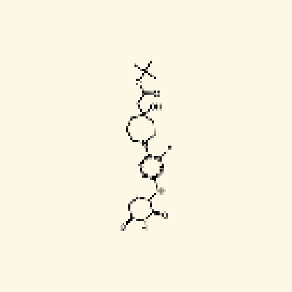 CC(C)(C)OC(=O)CC1(O)CCCN(c2ccc(NC3CCC(=O)NC3=O)cc2F)CC1